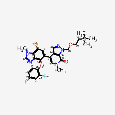 Cn1cc(-c2cc(Br)c3c(ncn3C)c2Oc2ccc(F)cc2F)c2cnn(COCC[Si](C)(C)C)c2c1=O